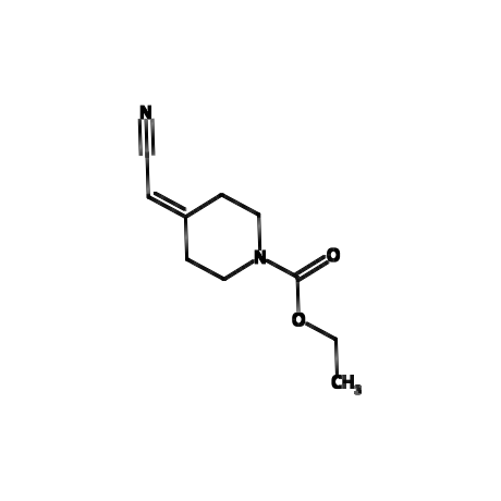 CCOC(=O)N1CCC(=CC#N)CC1